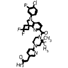 CC1(C)CN(c2ccc(CC(=O)O)cn2)CCN1C(=O)c1ccc2c(n1)C1(CN2c2ccc(Cl)c(F)c2)CC(F)(F)C1